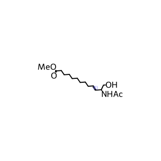 COC(=O)CCCCCCCC/C=C/C(CO)NC(C)=O